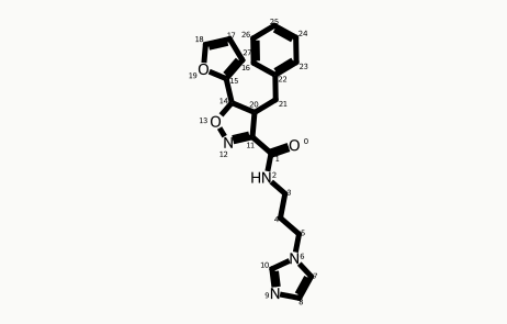 O=C(NCCCn1ccnc1)C1=NOC(c2ccco2)C1Cc1ccccc1